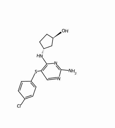 Nc1ncc(Sc2ccc(Cl)cc2)c(N[C@@H]2CC[C@@H](O)C2)n1